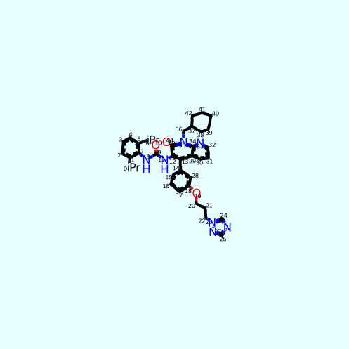 CC(C)c1cccc(C(C)C)c1NC(=O)Nc1c(-c2cccc(OCCCn3cncn3)c2)c2cccnc2n(CC2CCCCC2)c1=O